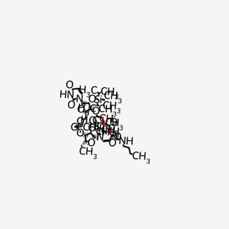 CCCCNC(=O)CCC(=O)CCC(=O)O[C@@H]1C(O[Si](C(C)C)(C(C)C)C(C)C)[C@H](n2ccc(=O)[nH]c2=O)O[C@@H]1COP(C)(=O)O[C@@H]1C(O[Si](C)(C)C(C)(C)C)[C@H](n2ccc(=O)[nH]c2=O)O[C@@H]1CC